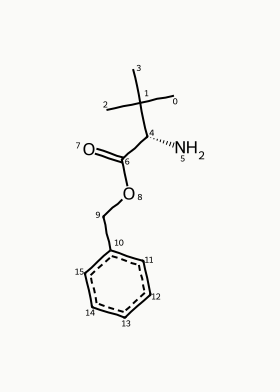 CC(C)(C)[C@H](N)C(=O)OCc1ccccc1